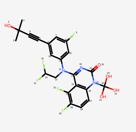 CC(C)(O)C#Cc1cc(F)cc(N(CC(F)F)c2nc(=O)n(C(O)(O)O)c3ccc(F)c(F)c23)c1